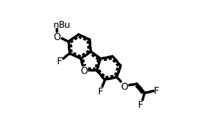 CCCCOc1ccc2c(oc3c(F)c(OC=C(F)F)ccc32)c1F